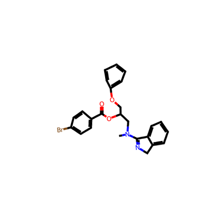 CN(CC(COc1ccccc1)OC(=O)c1ccc(Br)cc1)C1=NCc2ccccc21